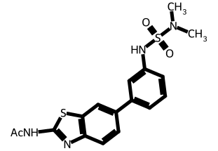 CC(=O)Nc1nc2ccc(-c3cccc(NS(=O)(=O)N(C)C)c3)cc2s1